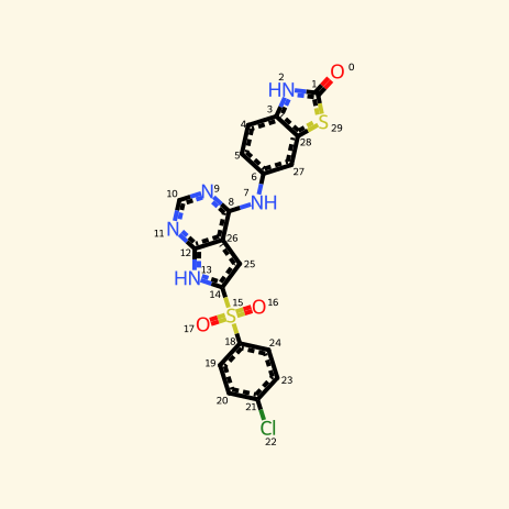 O=c1[nH]c2ccc(Nc3ncnc4[nH]c(S(=O)(=O)c5ccc(Cl)cc5)cc34)cc2s1